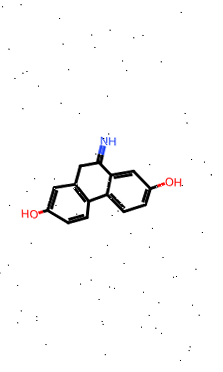 N=C1Cc2cc(O)ccc2-c2ccc(O)cc21